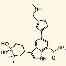 CN(C)Cc1cc(-c2cc(C(N)=O)c3[nH]cc(C4CCS(O)(O)C(C)(C)C4)c3c2)cs1